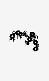 O=C(CNc1cc(C(F)(F)F)ccc1-c1ccccc1C(=O)Oc1ccc(Oc2ccccc2)cc1)NCc1ccc(Oc2ccc(F)c(F)c2)cc1C(F)(F)F